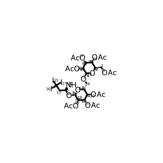 CC(=O)OC[C@H]1O[C@@H](OC[C@H]2O[C@H](OC(=N)CC(I)(I)I)[C@H](OC(C)=O)[C@@H](OC(C)=O)[C@@H]2OC(C)=O)[C@H](OC(C)=O)[C@@H](OC(C)=O)[C@@H]1OC(C)=O